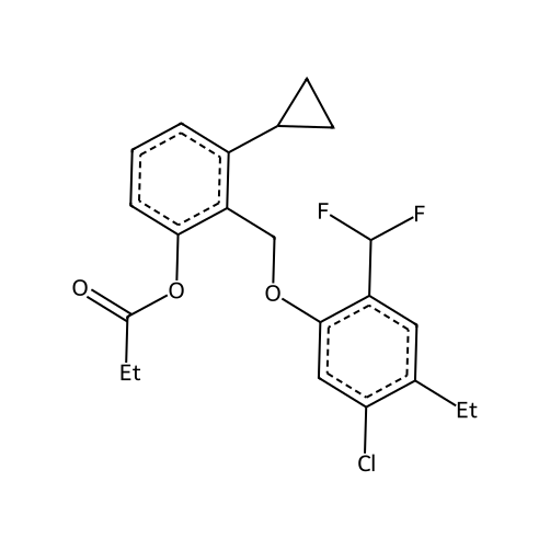 CCC(=O)Oc1cccc(C2CC2)c1COc1cc(Cl)c(CC)cc1C(F)F